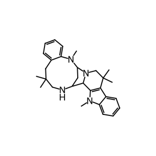 CN1c2ccccc2CC(C)(C)CNC2CC1N1CC(C)(C)c3c(n(C)c4ccccc34)C21